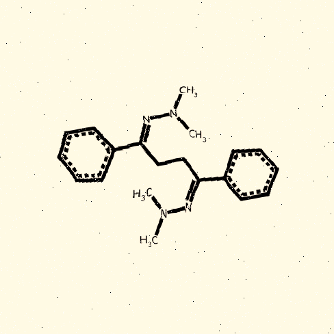 CN(C)N=C(CCC(=NN(C)C)c1ccccc1)c1ccccc1